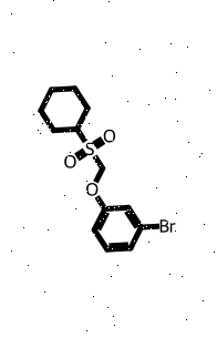 O=S(=O)(COc1cccc(Br)c1)C1CCCCC1